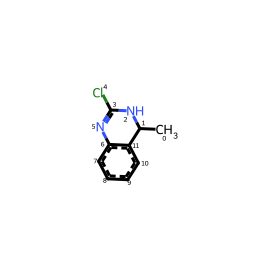 CC1NC(Cl)=Nc2ccccc21